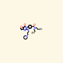 CC(C)CCN(CCC(C)C)C(=O)c1ccc2c(c1)n(CCCN1CCCCC1)c1nc3ccoc3c(=O)n21